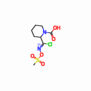 CS(=O)(=O)O/N=C(\Cl)C1CCCCN1C(=O)O